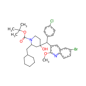 COc1nc2ccc(Br)cc2cc1C(c1ccc(Cl)cc1)C1(O)CCN(C(=O)OC(C)(C)C)C(CC2CCCCC2)C1